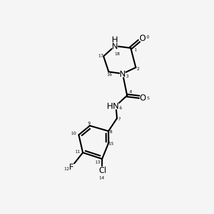 O=C1CN(C(=O)NCc2ccc(F)c(Cl)c2)CCN1